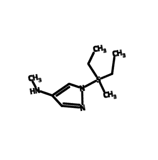 CCS(C)(CC)n1cc(NC)cn1